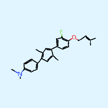 CC(C)=CCOc1ccc(-c2cc(C)c(-c3ccc(N(C)C)cc3)cc2C)cc1F